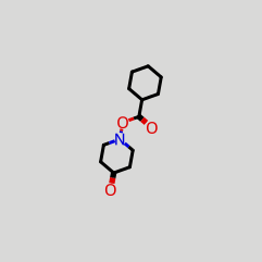 O=C1CCN(OC(=O)C2CCCCC2)CC1